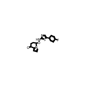 O=C1CCC(ONc2ncc(-c3ccc(F)cc3)s2)n2cccc21